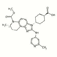 COC(=O)N1c2ccc3c(nc(Nc4ccnc(C)c4)n3[C@H]3CC[C@H](C(=O)O)CC3)c2CC[C@@H]1C